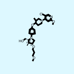 COCCCO[C@H]1CN(c2ccc(OC3CCN(c4cc(OC)ncc4Cl)CC3C)cc2)[C@@H](CO)[C@@H]1C